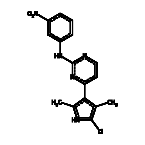 Cc1[nH]c(Cl)c(C)c1-c1ccnc(Nc2cccc([N+](=O)[O-])c2)n1